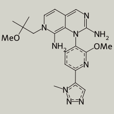 COc1nc(-c2cnnn2C)ccc1N1C(N)=NC=C2C=CN(CC(C)(C)OC)C(N)=C21